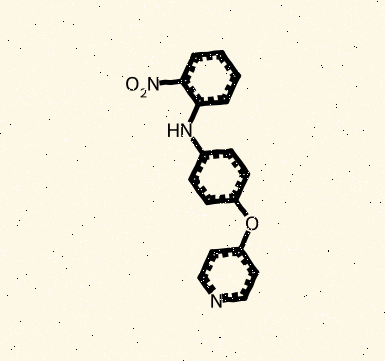 O=[N+]([O-])c1ccccc1Nc1ccc(Oc2ccncc2)cc1